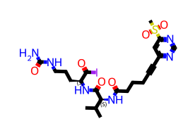 CC(C)[C@H](NC(=O)CCCC#Cc1cc(S(C)(=O)=O)ncn1)C(=O)N[C@@H](CCCNC(N)=O)C(=O)I